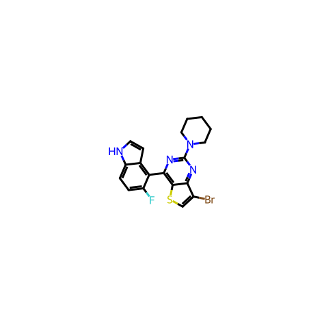 Fc1ccc2[nH]ccc2c1-c1nc(N2CCCCC2)nc2c(Br)csc12